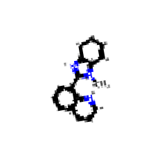 Cn1c(-c2cccc3cccnc23)nc2c1C=CCC2